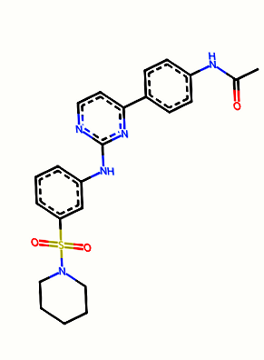 CC(=O)Nc1ccc(-c2ccnc(Nc3cccc(S(=O)(=O)N4CCCCC4)c3)n2)cc1